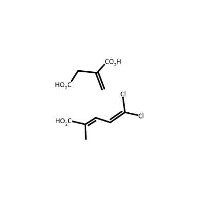 C=C(CC(=O)O)C(=O)O.CC(=CC=C(Cl)Cl)C(=O)O